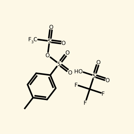 Cc1ccc(S(=O)(=O)OS(=O)(=O)C(F)(F)F)cc1.O=S(=O)(O)C(F)(F)F